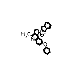 Cc1nc2ccc(Oc3ccccc3)cc2c2c1CC[N+]2([O-])C1Cc2ccccc2C1